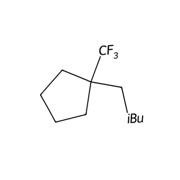 CCC(C)CC1(C(F)(F)F)CCCC1